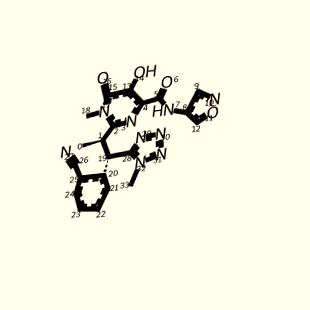 C[C@@H](c1nc(C(=O)Nc2cnoc2)c(O)c(=O)n1C)[C@@H](c1ccccc1C#N)c1nnnn1C